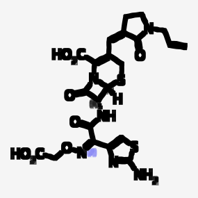 C=CCN1CCC(=CC2=C(C(=O)O)N3C(=O)[C@@H](NC(=O)/C(=N\OCC(=O)O)c4csc(N)n4)[C@H]3SC2)C1=O